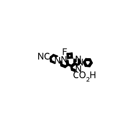 N#CC1CCN(c2ccc(-c3cc(C(=O)O)nc4c3c([C@H]3C[C@H](F)C3)nn4-c3ccccc3)cn2)CC1